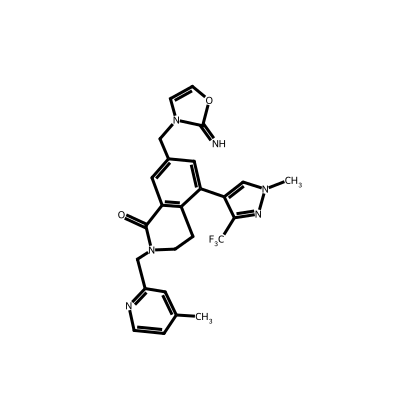 Cc1ccnc(CN2CCc3c(cc(Cn4ccoc4=N)cc3-c3cn(C)nc3C(F)(F)F)C2=O)c1